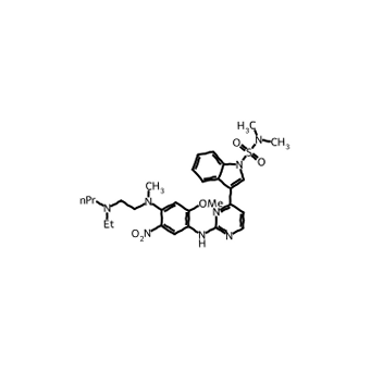 CCCN(CC)CCN(C)c1cc(OC)c(Nc2nccc(-c3cn(S(=O)(=O)N(C)C)c4ccccc34)n2)cc1[N+](=O)[O-]